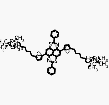 C[Si](C)(C)O[Si](C)(C)CCCCCCc1ccc(-c2cc3c4c(c(-c5ccc(CCCCCC[Si](C)(C)O[Si](C)(C)C)o5)cc5c4c2N=C(c2ccccc2)S5)N=C(c2ccccc2)S3)o1